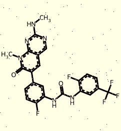 CNc1ncc2cc(-c3ccc(F)c(NC(=O)Nc4cc(C(F)(F)F)ccc4F)c3)c(=O)n(C)c2n1